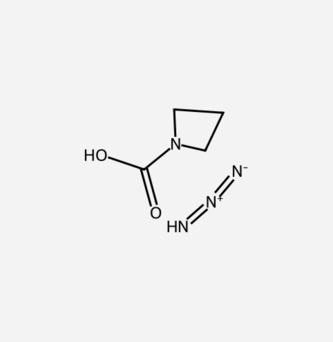 O=C(O)N1CCC1.[N-]=[N+]=N